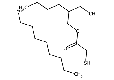 CCCCC(CC)COC(=O)CS.CCCCCCC[CH2][Sn]